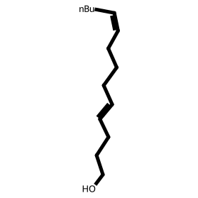 CCCC/C=C\CCC/C=C/CCCO